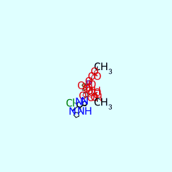 CCOC(=O)OCOP(=O)(CS(=O)(=O)C[C@H]1O[C@@H](n2ccc3c(NC4CCCC4)c(C#N)c(Cl)nc32)[C@H](O)[C@@H]1O)OCOC(=O)OCC